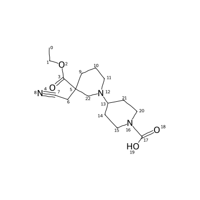 CCOC(=O)C1(CC#N)CCCN(C2CCN(C(=O)O)CC2)C1